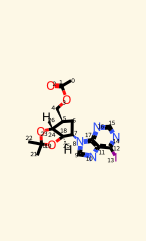 CC(=O)OC[C@H]1C[C@@H](n2cnc3c(I)ncnc32)[C@H]2OC(C)(C)O[C@H]12